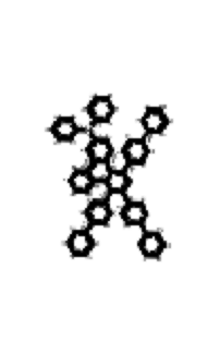 c1ccc(-c2ccc(-c3cc(-c4ccc(-c5ccccc5)cc4)c4c5ccc(N(c6ccccc6)c6ccccc6)cc5c5ccccc5c4c3-c3ccc(-c4ccccc4)cc3)cc2)cc1